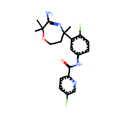 CC1(C)OCCC(C)(c2cc(NC(=O)c3ccc(F)cn3)ccc2F)N=C1N